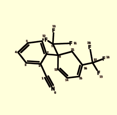 N#Cc1ccccc1C1(C(F)(F)F)C=CC=C(C(F)(F)F)C1